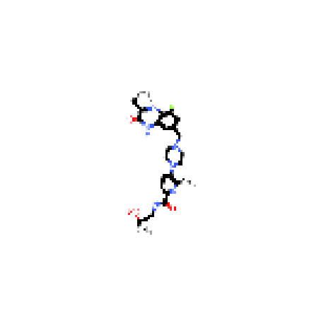 CCc1nc2c(F)cc(CN3CCN(c4ccc(C(=O)NCC(C)O)nc4C)CC3)cc2[nH]c1=O